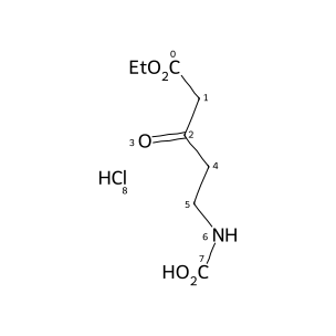 CCOC(=O)CC(=O)CCNC(=O)O.Cl